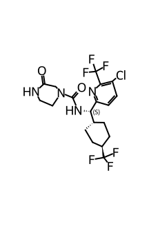 O=C1CN(C(=O)N[C@H](c2ccc(Cl)c(C(F)(F)F)n2)[C@H]2CC[C@H](C(F)(F)F)CC2)CCN1